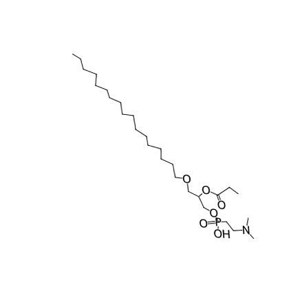 CCCCCCCCCCCCCCCCCOCC(COP(=O)(O)CCN(C)C)OC(=O)CC